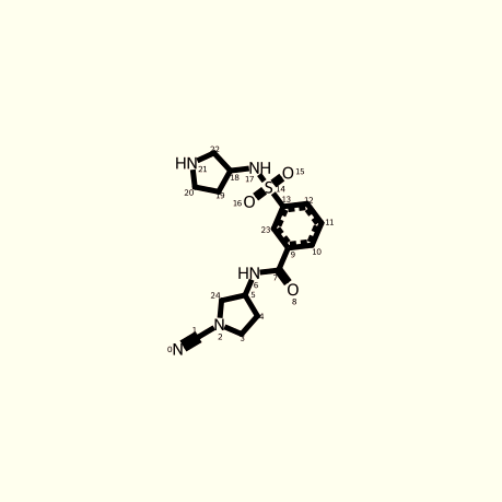 N#CN1CCC(NC(=O)c2cccc(S(=O)(=O)NC3CCNC3)c2)C1